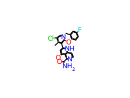 Cc1cc(F)ccc1Oc1ncc(Cl)c(C)c1-c1cc(=O)c2c(C(N)=O)nccc2[nH]1